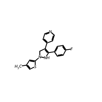 Cc1csc(N2CC(c3ccncc3)=C(c3ccc(F)cc3)N2)c1